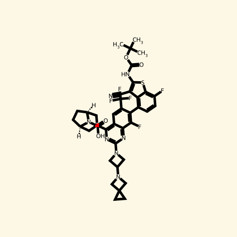 CC(C)(C)OC(=O)Nc1sc2c(F)ccc(-c3c(C(F)(F)F)cc4c(N5C[C@H]6CC[C@@H](C5)N6C(=O)O)nc(N5CC(N6CC7(CC7)C6)C5)nc4c3F)c2c1C#N